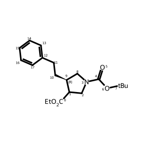 CCOC(=O)C1CN(C(=O)OC(C)(C)C)C[C@@H]1CCc1ccccc1